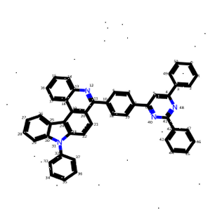 c1ccc(-c2cc(-c3ccc(-c4nc5ccccc5c5c4ccc4c5c5ccccc5n4-c4ccccc4)cc3)nc(-c3ccccc3)n2)cc1